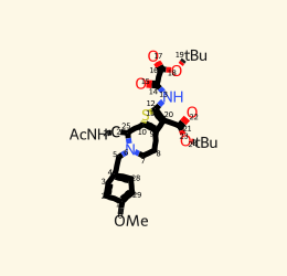 COc1ccc(CN2CCc3c(sc(NC(=O)C(=O)OC(C)(C)C)c3C(=O)OC(C)(C)C)C2CNC(C)=O)cc1